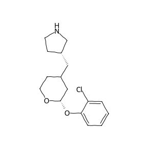 Clc1ccccc1O[C@H]1CC(C[C@@H]2CCNC2)CCO1